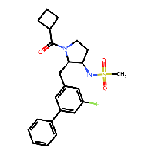 CS(=O)(=O)N[C@@H]1CCN(C(=O)C2CCC2)[C@@H]1Cc1cc(F)cc(-c2ccccc2)c1